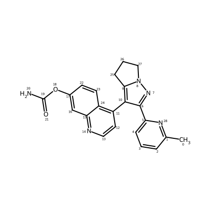 Cc1cccc(-c2nn3c(c2-c2ccnc4cc(OC(N)=O)ccc24)CCC3)n1